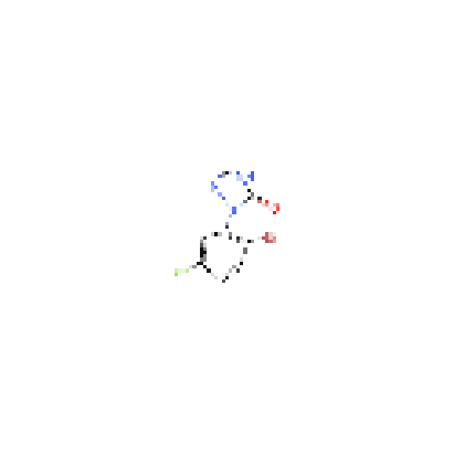 O=c1[nH]cnn1-c1cc(F)ccc1Br